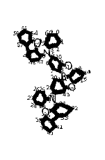 c1ccc(N(c2ccc3c(c2)Oc2cccc4c2B3c2ccc(N(c3ccccc3)c3cccc5c3oc3ccccc35)cc2O4)c2cccc3c2oc2ccccc23)cc1